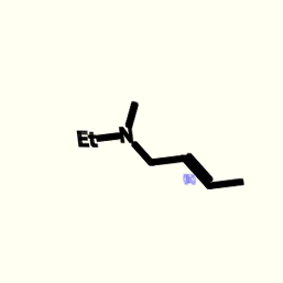 C/C=C/CN(C)CC